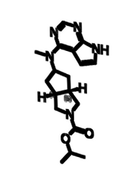 CC(C)OC(=O)N1C[C@H]2CC(N(C)c3ncnc4[nH]ccc34)C[C@H]2C1